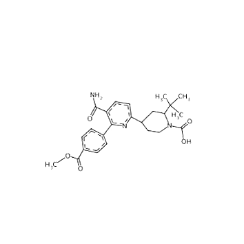 COC(=O)c1ccc(-c2nc(C3CCN(C(=O)O)C(C(C)(C)C)C3)ccc2C(N)=O)cc1